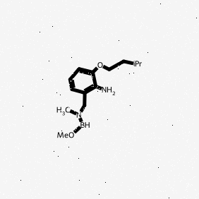 COBN(C)Cc1cccc(OCCC(C)C)c1N